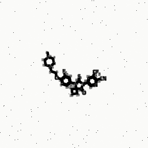 CN1CCN(CCOc2ccc(N3C(=S)N(c4cnc(C#N)c(C(F)(F)F)c4)C(=O)C34CCC4)cc2F)CC1